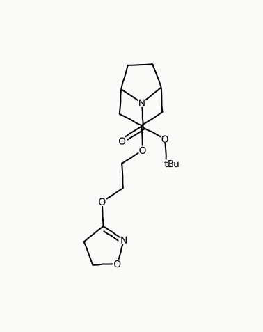 CC(C)(C)OC(=O)N1C2CCC1CC(OCCOC1=NOCC1)C2